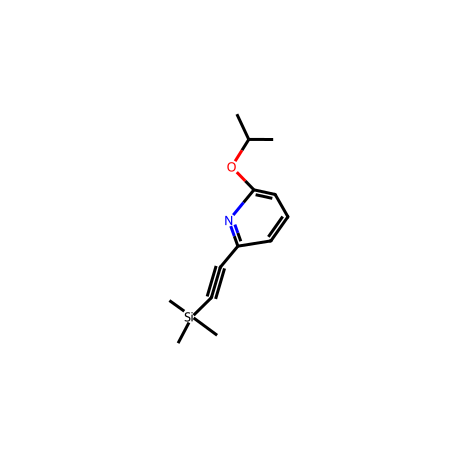 CC(C)Oc1cccc(C#C[Si](C)(C)C)n1